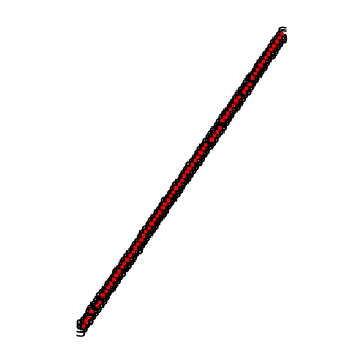 S=S=S=S=S=S=S=S=S=S=S=S=S=S=S=S=S=S=S=S=S=S=S=S=S=S=S=S=S=S=S=S=S=S=S=S=S=S=S=S=S=S=S=S=S=S=S=S=S=S=S=S=S=S=S=S=S=S=S=S=S=S=S=S=S=S=S=S=S=S=S=S=S=S=S=S=S=S=S=S=S=S=S=S=S=S=S=S=S=S=S=S=S=S=S=S=S=S=S=S=S=S=S=S=S=S=S=S=S=S=S=S=S=S=S=S=S=S=S=S=S=S=S=S=S=S=S=S=S=S=S=S=S=S=S=S=S=S=S=S=S=S=S=S=S=S=S=S=S=S